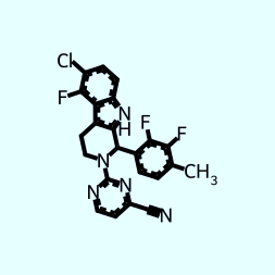 Cc1ccc(C2c3[nH]c4ccc(Cl)c(F)c4c3CCN2c2nccc(C#N)n2)c(F)c1F